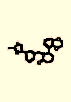 Cc1nc(-c2cccc(CN3C(=O)CCCC3c3cccc4c3OCCO4)c2)cs1